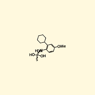 COc1cc[c]([AlH2])c(C2CCCCC2)c1.OP(O)(O)=S